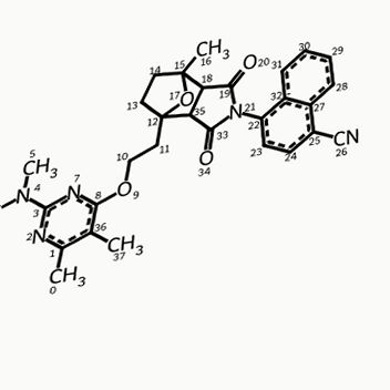 Cc1nc(N(C)C)nc(OCCC23CCC(C)(O2)C2C(=O)N(c4ccc(C#N)c5ccccc45)C(=O)C23)c1C